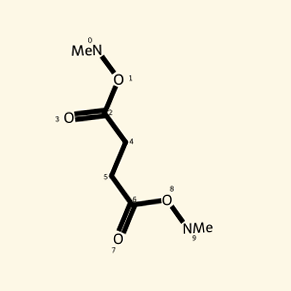 CNOC(=O)CCC(=O)ONC